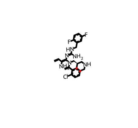 C=C/C(N)=C(\N=C(/N)NCc1cc(F)ccc1F)N(C[C@@H]1CCCNC1)C(=C)c1ccccc1Cl